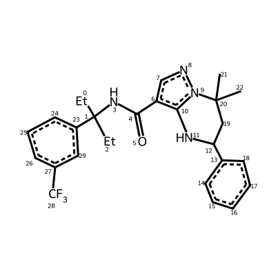 CCC(CC)(NC(=O)c1cnn2c1NC(c1ccccc1)CC2(C)C)c1cccc(C(F)(F)F)c1